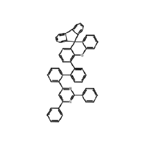 c1ccc(-c2cc(-c3ccccc3-c3ccccc3-c3cccc4c3Oc3ccccc3C43c4ccccc4-c4ccccc43)nc(-c3ccccc3)n2)cc1